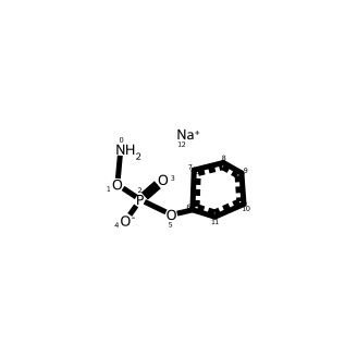 NOP(=O)([O-])Oc1ccccc1.[Na+]